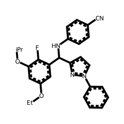 CCOc1cc(OC(C)C)c(F)c(C(Nc2ccc(C#N)cc2)c2ccn(-c3ccccc3)n2)c1